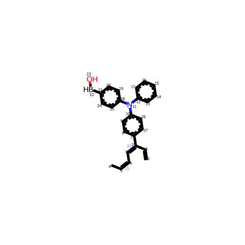 C=C/C(=C\C=C/C)c1ccc(N(c2ccccc2)c2ccc(BO)cc2)cc1